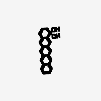 OC1(O)CC=Cc2cc3cc4cc5ccccc5cc4cc3cc21